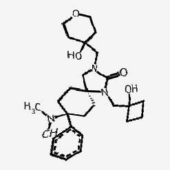 CN(C)[C@]1(c2ccccc2)CC[C@]2(CC1)CN(CC1(O)CCOCC1)C(=O)N2CC1(O)CCC1